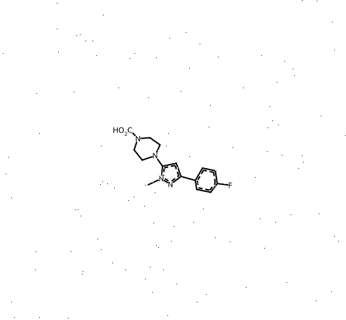 Cn1nc(-c2ccc(F)cc2)cc1N1CCN(C(=O)O)CC1